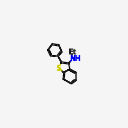 CCNc1c(-c2ccccc2)sc2ccccc12